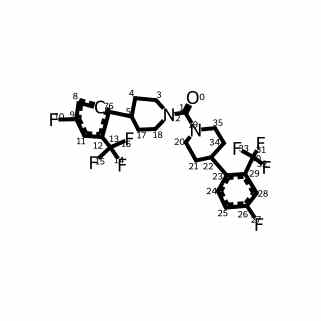 O=C(N1CCC(c2ccc(F)cc2C(F)(F)F)CC1)N1CCC(c2ccc(F)cc2C(F)(F)F)CC1